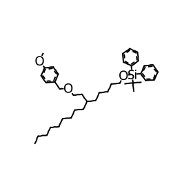 CCCCCCCCCC(CCCCCO[Si](c1ccccc1)(c1ccccc1)C(C)(C)C)CCOCc1ccc(OC)cc1